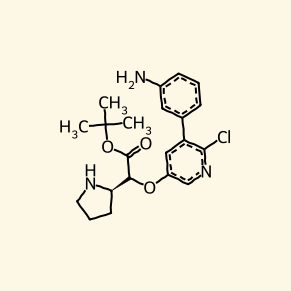 CC(C)(C)OC(=O)C(Oc1cnc(Cl)c(-c2cccc(N)c2)c1)[C@H]1CCCN1